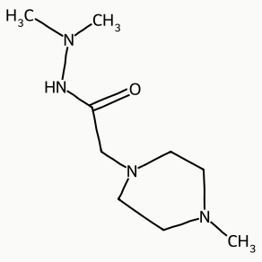 CN1CCN(CC(=O)NN(C)C)CC1